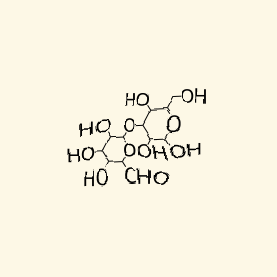 O=CC1OC(OC2C(O)C(O)OC(CO)C2O)C(O)C(O)C1O